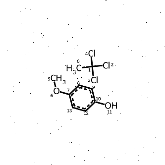 CC(Cl)(Cl)Cl.COc1ccc(O)cc1